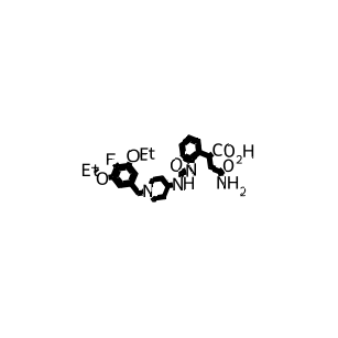 CCOc1cc(CN2CCC(Nc3nc4c(C(CC(N)=O)C(=O)O)cccc4o3)CC2)cc(OCC)c1F